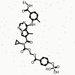 CCNC(=O)c1ccc(C)c(Nc2ncnn3cc(C(=O)N(C(=O)OCOC(=O)c4ccc(OP(=O)(O)O)cc4)C4CC4)c(C)c23)c1